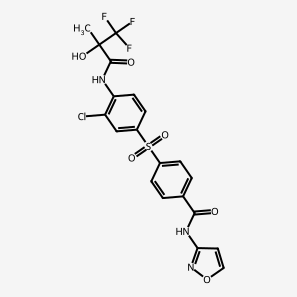 CC(O)(C(=O)Nc1ccc(S(=O)(=O)c2ccc(C(=O)Nc3ccon3)cc2)cc1Cl)C(F)(F)F